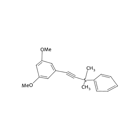 COc1cc(C#CS(C)(C)c2ccccc2)cc(OC)c1